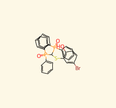 O=P(c1ccccc1)(c1ccccc1)C(Sc1cc(Br)ccc1O)P(=O)(c1ccccc1)c1ccccc1